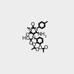 CC(=O)Oc1cccc(N(C(=O)O)c2c(N)n(-c3ccc(C)cc3)c(=O)n(C)c2=O)c1OC(C)=O